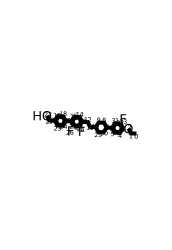 CCOc1ccc(C2CCC(CCc3ccc(-c4ccc(CO)cc4)c(F)c3F)CC2)cc1F